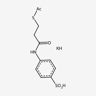 CC(=O)SCCC(=O)Nc1ccc(S(=O)(=O)O)cc1.[KH]